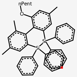 CCCCCOc1cc(C)cc2c1-c1c(C)cc(C)cc1[Si](c1ccccc1)(c1ccccc1)[Si]2(c1ccccc1)c1ccccc1